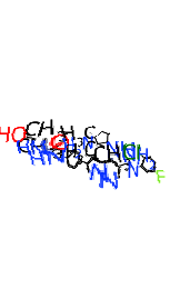 CC(C)(O)CNC(=O)Nc1ccc(-c2cc3c(N[C@@H]4CC[C@](C)(N)C4(C)C)c(/C(N)=N/c4cc(F)ccc4Cl)cnn3c2)cc1